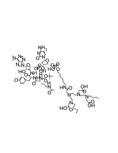 CCCCN(CCN(CCN(CCN(CCCC)CC(=O)O)CC(=O)NCCCCCCOP(=O)(O)OC[C@H]1O[C@@H](n2ccc(N)nc2=O)C[C@H]1OP(=O)(O)OC[C@H]1O[C@@H](n2cnc3c(N(C)C)ncnc32)[C@@H](O)C1NC(=O)[C@H](Cc1ccc(OC)cc1)NC(=O)[C@@H](CCCNC(C)=O)NC(=O)OC(C)(C)C)CC(=O)O)CC(=O)O